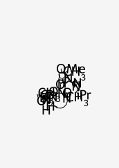 COc1ccc2c(OCC[C@@H]3NC(=O)N(C)CCCC/C=C\[C@@H]4C[C@@]4(C(=O)NS(=O)(=O)C4(C)CC4)NC3=O)cc(-c3cnn(CCC(C)C)c3)nc2c1C